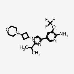 CC(C)c1nc(-c2cnc(N)c(OC(F)(F)F)c2)cn1[C@H]1C[C@H](N2CCOCC2)C1